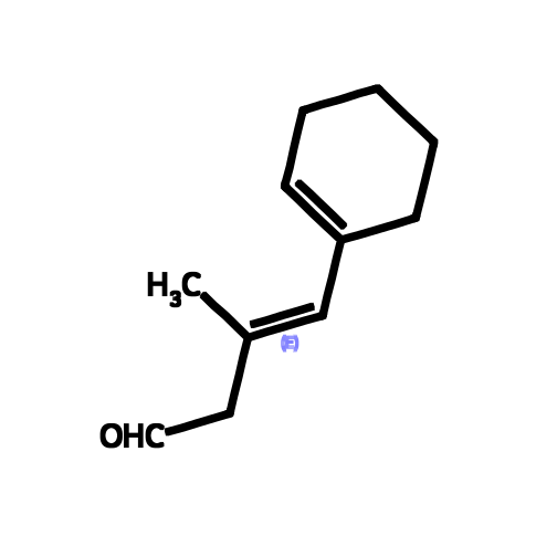 C/C(=C\C1=CCCCC1)CC=O